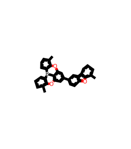 Cc1cccc2c1Oc1cc(-c3ccc4oc5c(C)cccc5c4c3)cc3c1B2c1cccc(C)c1O3